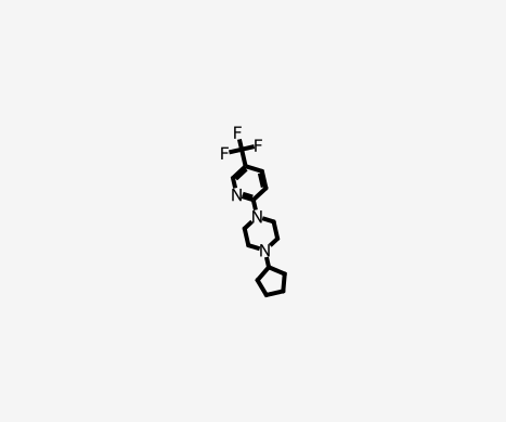 FC(F)(F)c1ccc(N2CCN(C3CCCC3)CC2)nc1